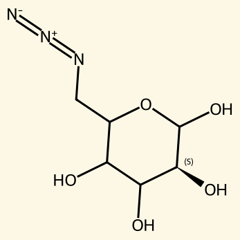 [N-]=[N+]=NCC1OC(O)[C@@H](O)C(O)C1O